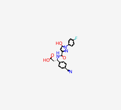 N#Cc1ccc([C@H](CC(=O)O)NC(=O)c2cc(O)n(-c3ccc(F)cc3)n2)cc1